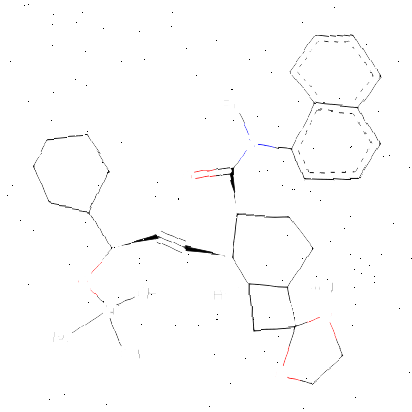 CCN(C(=O)[C@H]1CC[C@@H]2[C@@H](CC23OCCO3)[C@H]1C#C[C@@H](O[Si](C)(C)C(C)(C)C)C1CCCCC1)c1cccc2ccccc12